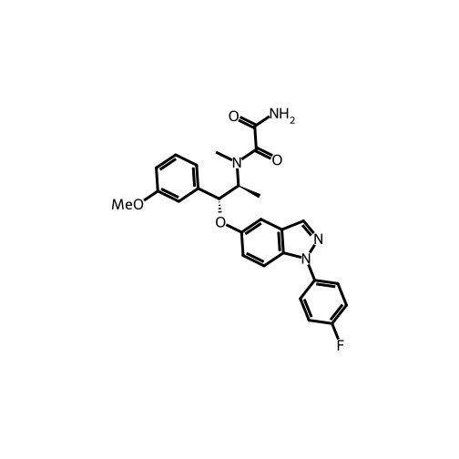 COc1cccc([C@@H](Oc2ccc3c(cnn3-c3ccc(F)cc3)c2)[C@H](C)N(C)C(=O)C(N)=O)c1